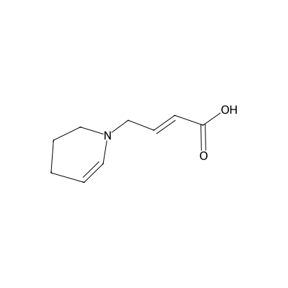 O=C(O)C=CCN1C=CCCC1